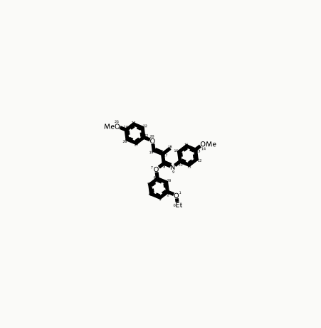 CCOc1cccc(OC(=Nc2ccc(OC)cc2)C(C)=COc2ccc(OC)cc2)c1